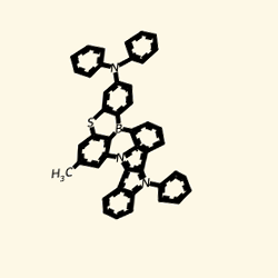 Cc1cc2c3c(c1)-n1c4c(cccc4c4c1c1ccccc1n4-c1ccccc1)B3c1ccc(N(c3ccccc3)c3ccccc3)cc1S2